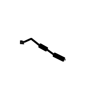 [C]#CC#CCC[CH2]